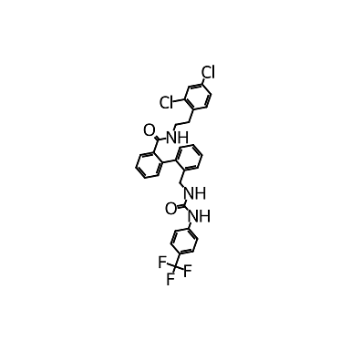 O=C(NCc1ccccc1-c1ccccc1C(=O)NCCc1ccc(Cl)cc1Cl)Nc1ccc(C(F)(F)F)cc1